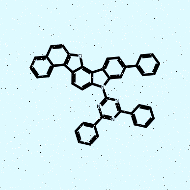 c1ccc(-c2ccc3c4c5oc6ccc7ccccc7c6c5ccc4n(-c4nc(-c5ccccc5)nc(-c5ccccc5)n4)c3c2)cc1